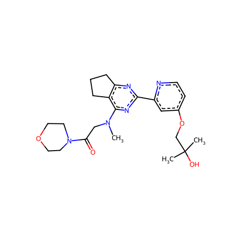 CN(CC(=O)N1CCOCC1)c1nc(-c2cc(OCC(C)(C)O)ccn2)nc2c1CCC2